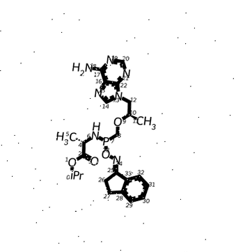 CC(C)OC(=O)[C@H](C)NP(CO[C@H](C)Cn1cnc2c(N)ncnc21)O/N=C1\CCc2ccccc21